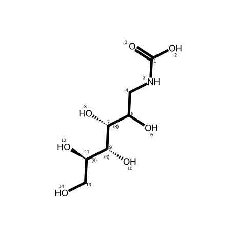 O=C(O)NCC(O)[C@@H](O)[C@H](O)[C@H](O)CO